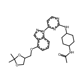 CC(=O)NC1CCC(Nc2nccc(-n3ncc4c(OCC5COC(C)(C)O5)cccc43)n2)CC1